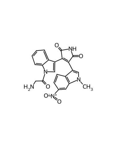 Cn1cc(C2=C(c3cn(C(=O)CN)c4ccccc34)C(=O)NC2=O)c2ccc([N+](=O)[O-])cc21